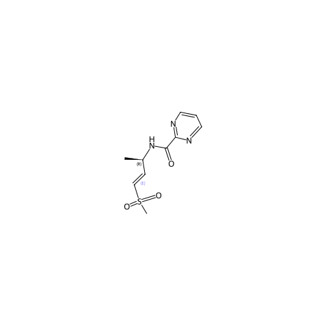 C[C@H](/C=C/S(C)(=O)=O)NC(=O)c1ncccn1